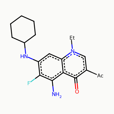 CCn1cc(C(C)=O)c(=O)c2c(N)c(F)c(NC3CCCCC3)cc21